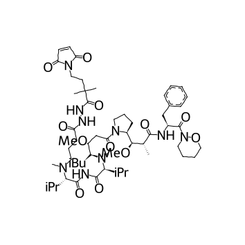 CC[C@H](C)[C@@H]([C@@H](CC(=O)N1CCC[C@H]1[C@H](OC)[C@@H](C)C(=O)N[C@@H](Cc1ccccc1)C(=O)N1CCCCO1)OC)N(C)[C@H](C(=O)NC(=O)[C@H](C(C)C)N(C)CCCC(=O)NNC(=O)C(C)(C)CCN1C(=O)C=CC1=O)C(C)C